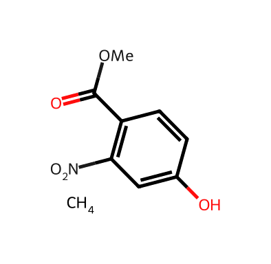 C.COC(=O)c1ccc(O)cc1[N+](=O)[O-]